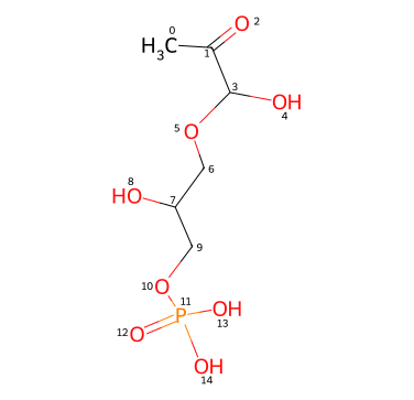 CC(=O)C(O)OCC(O)COP(=O)(O)O